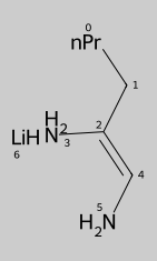 CCCCC(N)=CN.[LiH]